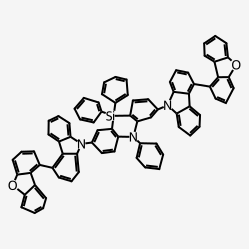 c1ccc(N2c3cc(-n4c5ccccc5c5c(-c6cccc7oc8ccccc8c67)cccc54)ccc3[Si](c3ccccc3)(c3ccccc3)c3cc(-n4c5ccccc5c5c(-c6cccc7oc8ccccc8c67)cccc54)ccc32)cc1